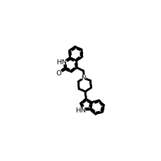 O=c1cc(CN2CCC(c3c[nH]c4ccccc34)CC2)c2ccccc2[nH]1